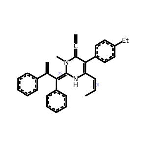 C=C=C1C(c2ccc(CC)cc2)=C(/C=C\C)N/C(=C(/C(=C)c2ccccc2)c2ccccc2)N1C